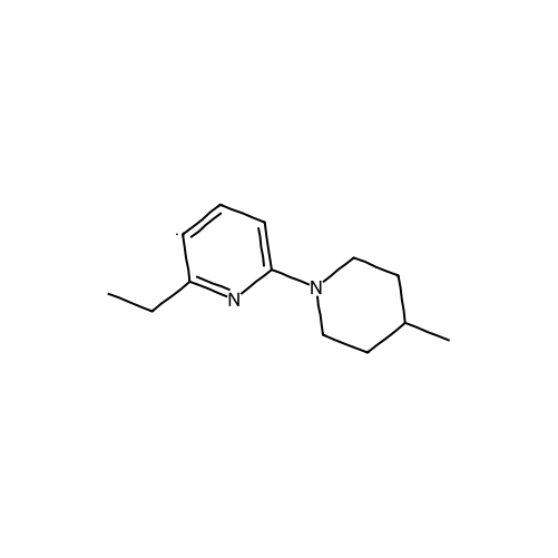 CCc1[c]ccc(N2CCC(C)CC2)n1